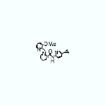 COc1cccnc1CN1CCCC[C@@H]1C(=O)Nc1ccc(C2CC2)cn1